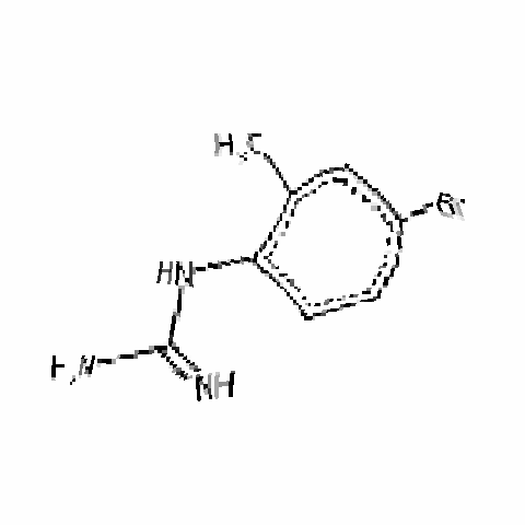 Cc1cc(Br)ccc1NC(=N)N